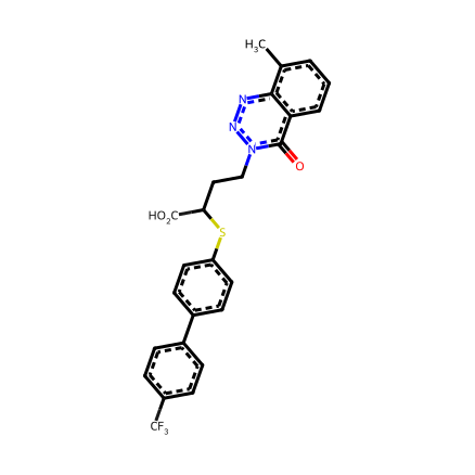 Cc1cccc2c(=O)n(CCC(Sc3ccc(-c4ccc(C(F)(F)F)cc4)cc3)C(=O)O)nnc12